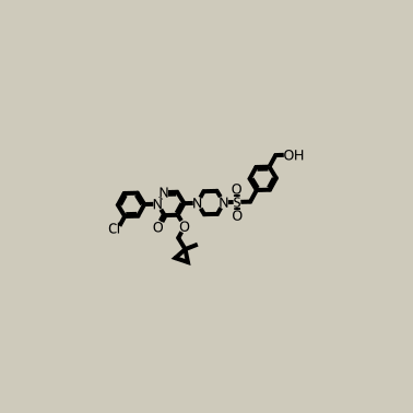 CC1(COc2c(N3CCN(S(=O)(=O)Cc4ccc(CO)cc4)CC3)cnn(-c3cccc(Cl)c3)c2=O)CC1